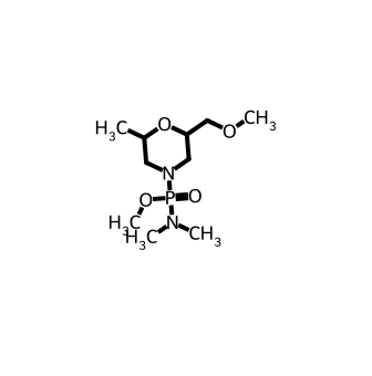 COCC1CN(P(=O)(OC)N(C)C)CC(C)O1